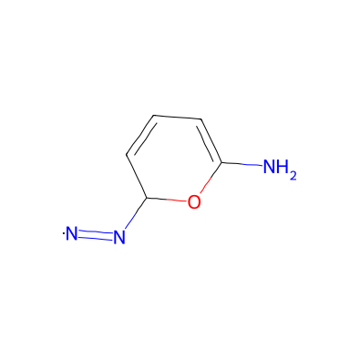 [N]=NC1C=CC=C(N)O1